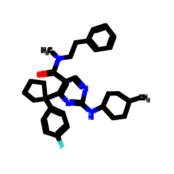 CC1CCC(Nc2ncc(C(=O)N(C)CCc3ccccc3)c(C3(c4ccc(F)cc4)CCCC3)n2)CC1